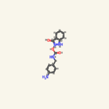 Nc1ccc(CNC(=O)On2[nH]c3ccccc3c2=O)cc1